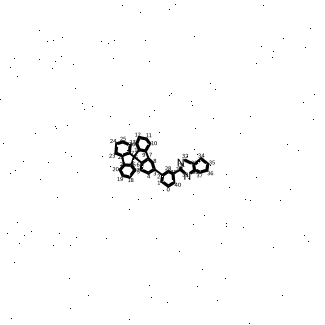 c1cc(-c2ccc3c(c2)-c2ccccc2C32c3ccccc3-c3ccccc32)cc(-c2ncc3ccccc3n2)c1